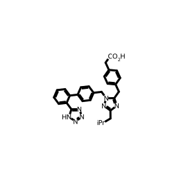 CC(C)Cc1nc(Cc2ccc(CC(=O)O)cc2)n(Cc2ccc(-c3ccccc3-c3nnn[nH]3)cc2)n1